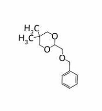 CC1(C)COC(COCc2ccccc2)OC1